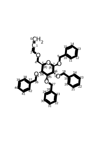 C=C=COC[C@H]1O[C@@H](OCc2ccccc2)[C@H](OCc2ccccc2)[C@@H](OCc2ccccc2)[C@@H]1OCc1ccccc1